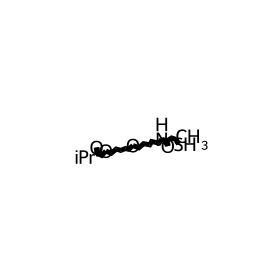 CC(S)CC(=O)NCCCCCOCCCCCOCC(=O)C(C)C